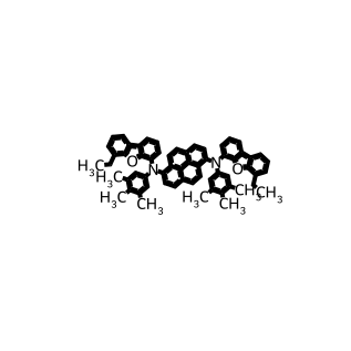 CCc1cccc2c1oc1c(N(c3cc(C)c(C)c(C)c3)c3ccc4ccc5c(N(c6cc(C)c(C)c(C)c6)c6cccc7c6oc6c(CC)cccc67)ccc6ccc3c4c65)cccc12